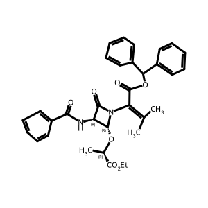 CCOC(=O)[C@@H](C)O[C@@H]1[C@@H](NC(=O)c2ccccc2)C(=O)N1C(C(=O)OC(c1ccccc1)c1ccccc1)=C(C)C